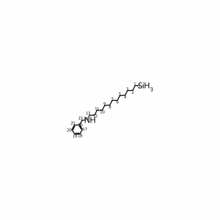 [SiH3]CCCCCCCCCCCCCNCc1ccccc1